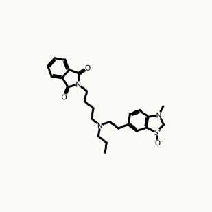 CCCN(CCCCN1C(=O)c2ccccc2C1=O)CCc1ccc2c(c1)[S+]([O-])CN2C